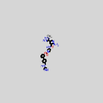 CN/C=C(\C=N)c1cnc(N)c(C(=O)NC2CCN(C(=O)Oc3cccc(-c4ccc(CNC5CNC5)cc4)c3)C2)c1